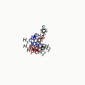 Cc1nn(C)cc1-c1nc(C)c(C(OC(C)(C)C)C(=O)O)c(N2CCC(C)(C)CC2)c1-c1ccc(OCCc2ccc(F)cc2)cc1